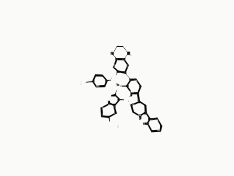 CC(C)(C)c1ccc(N2B3c4sc5ccc(C(C)(C)C)cc5c4-n4c5cc6oc7ccccc7c6cc5c5ccc(c3c54)-c3cc4c(cc32)C(C)(C)CCC4(C)C)cc1